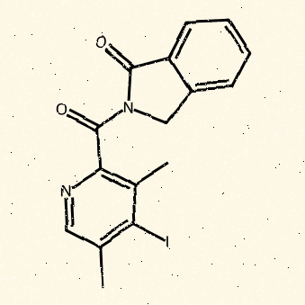 Cc1cnc(C(=O)N2Cc3ccccc3C2=O)c(C)c1I